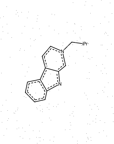 C[C](C)Cn1ccc2c3ccccc3nc-2c1